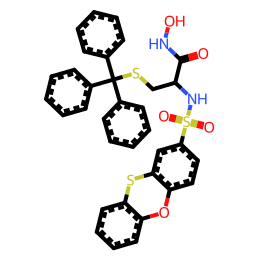 O=C(NO)C(CSC(c1ccccc1)(c1ccccc1)c1ccccc1)NS(=O)(=O)c1ccc2c(c1)Sc1ccccc1O2